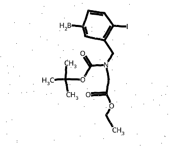 Bc1ccc(I)c(CN(CC(=O)OCC)C(=O)OC(C)(C)C)c1